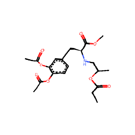 CCC(=O)OC(C)CN[C@@H](Cc1ccc(OC(C)=O)c(OC(C)=O)c1)C(=O)OC